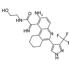 N=C(C(=O)NCCO)c1c(N)ccc2nc(-c3c[nH]nc3C(F)(F)F)c3c(c12)CCCC3